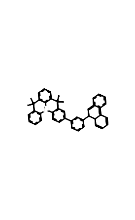 CC1(C)c2ccccc2N2c3ccc(-c4cccc(C5C=c6ccccc6=C6C=CC=CC65)c4)cc3C(C)(C)c3cccc1c32